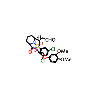 COc1ccc(OCCN2C[C@H](CC=O)[C@@H]3CCCC(C2=O)N3S(=O)(=O)c2cc(Cl)cc(Cl)c2)cc1OC